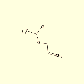 C=CCOC(C)Cl